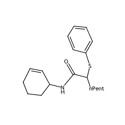 CCCCCC(Sc1ccccc1)C(=O)NC1C=CCCC1